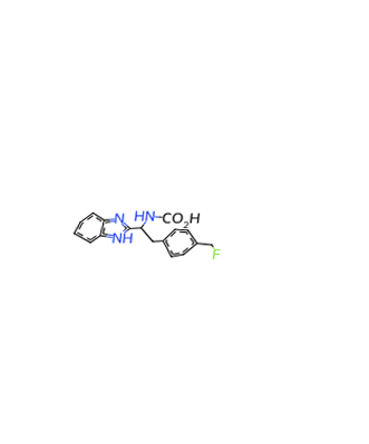 O=C(O)NC(Cc1ccc(CF)cc1)c1nc2ccccc2[nH]1